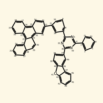 c1ccc(-c2nc(-c3cccc(-c4ccc5c6ccccc6c6c7ccccc7ccc6c5c4)c3)nc(-c3ccc4oc5ccccc5c4c3)n2)cc1